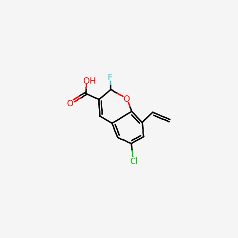 C=Cc1cc(Cl)cc2c1OC(F)C(C(=O)O)=C2